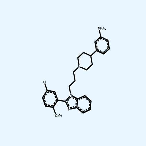 COc1ccc(Cl)cc1-c1nc2ccccc2n1CCCN1CCC(c2cccc(NC(C)=O)c2)CC1